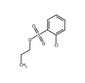 CCCOS(=O)(=O)c1ccccc1Cl